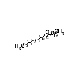 CCCCCCCCCCCCCC(=O)COC(C)=O